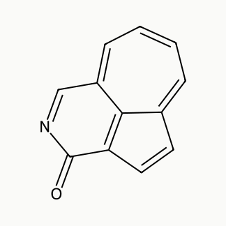 O=c1ncc2ccccc3ccc1c32